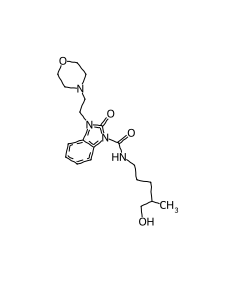 CC(CO)CCCNC(=O)n1c(=O)n(CCN2CCOCC2)c2ccccc21